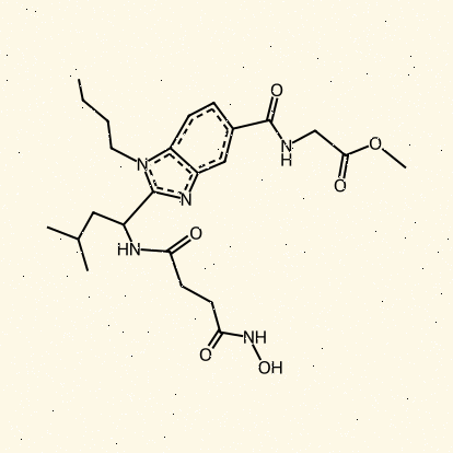 CCCCn1c(C(CC(C)C)NC(=O)CCC(=O)NO)nc2cc(C(=O)NCC(=O)OC)ccc21